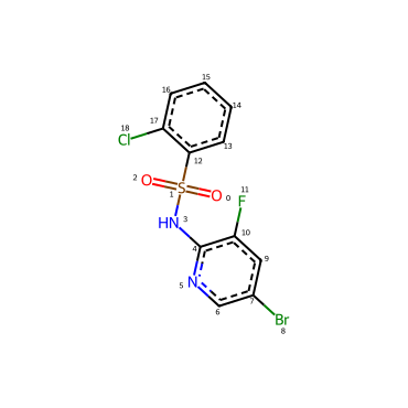 O=S(=O)(Nc1ncc(Br)cc1F)c1ccccc1Cl